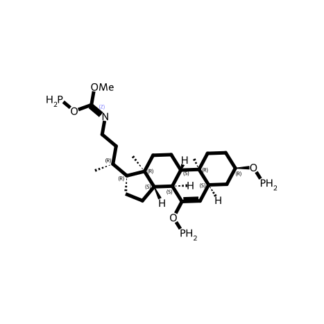 CO/C(=N/CC[C@@H](C)[C@H]1CC[C@H]2[C@@H]3C(OP)=C[C@@H]4C[C@H](OP)CC[C@]4(C)[C@H]3CC[C@]12C)OP